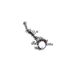 CCOCCOCCOCCNC(=O)c1cnc(N2CCN(c3ncc4c(n3)CCN(C(=O)O[C@@H]3CC[C@@H](C[C@@H](N)[C@@H]5C[C@@H](OC)[C@H](C)/C=C(\C)[C@@H](O)[C@@H](O)C(=O)[C@H](C)C[C@H](C)/C=C/C=C/C=C(\C)[C@@H](OC)C[C@@H]6CC[C@@H](C)[C@@](O)(O6)C(=O)C(=O)N6CCCC[C@H]6C(=O)O5)C[C@H]3OC)C4)C[C@@H]2C(=O)O)nc1